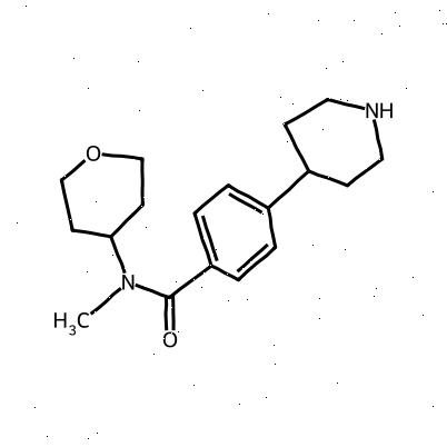 CN(C(=O)c1ccc(C2CCNCC2)cc1)C1CCOCC1